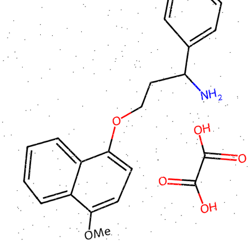 COc1ccc(OCCC(N)c2ccccc2)c2ccccc12.O=C(O)C(=O)O